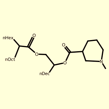 CCCCCCCCCCC(COC(=O)C(CCCCCC)CCCCCCCC)OC(=O)C1CCCN(C)C1